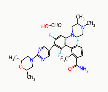 CC1CN(c2cc(F)c(-c3cnc(N4C[C@@H](C)O[C@H](C)C4)nc3)c(F)c2-c2c(F)ccc(C(N)=O)c2C(F)(F)F)CCN1C.O=CO